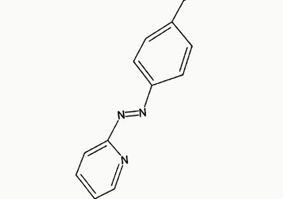 CCc1ccc(N=Nc2ccccn2)cc1